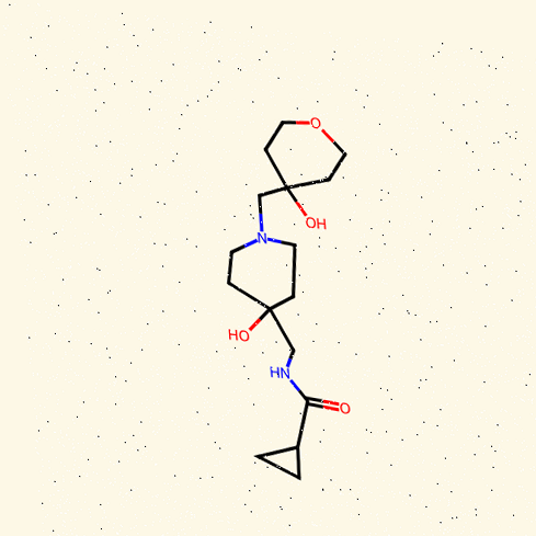 O=C(NCC1(O)CCN(CC2(O)CCOCC2)CC1)C1CC1